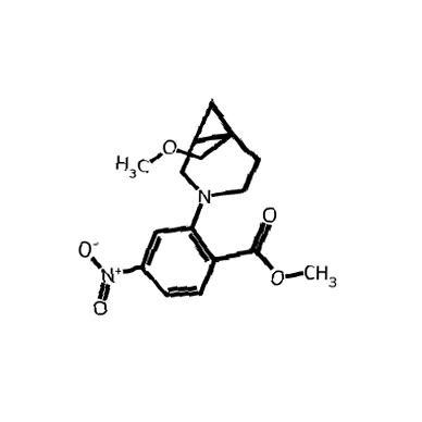 COCC12CCN(c3cc([N+](=O)[O-])ccc3C(=O)OC)CC1C2